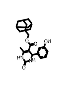 CC1=C(C(=O)OCC23CC4CC(CC(C4)C2)C3)C(c2cccc(O)c2)NC(=O)N1